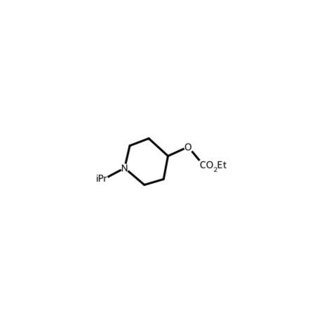 CCOC(=O)OC1CCN(C(C)C)CC1